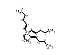 C=C[Si](C=CCCC)(C=CCCC)C=CCCC